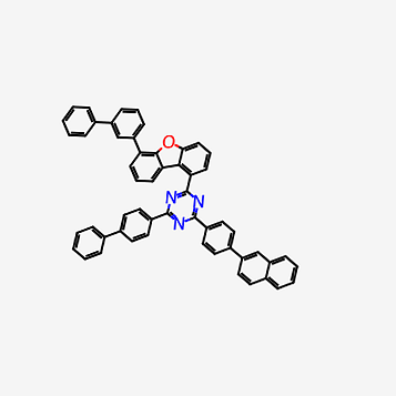 c1ccc(-c2ccc(-c3nc(-c4ccc(-c5ccc6ccccc6c5)cc4)nc(-c4cccc5oc6c(-c7cccc(-c8ccccc8)c7)cccc6c45)n3)cc2)cc1